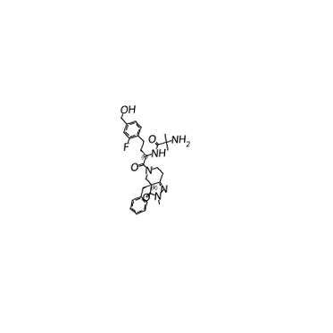 CN1N=C2CCN(C(=O)[C@@H](CCc3ccc(CO)cc3F)NC(=O)C(C)(C)N)C[C@@]2(Cc2ccccc2)C1=O